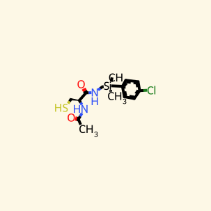 CC(=O)N[C@@H](CS)C(=O)NC[Si](C)(C)c1ccc(Cl)cc1